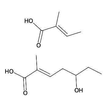 C/C=C(\C)C(=O)O.CCC(O)C/C=C(\C)C(=O)O